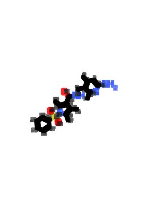 Cc1cc(N)nc(C)c1CNC(=O)c1c(C)c(C)n(S(=O)(=O)c2ccccc2)c1C